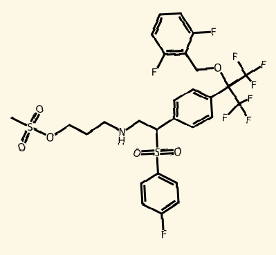 CS(=O)(=O)OCCCNCC(c1ccc(C(OCc2c(F)cccc2F)(C(F)(F)F)C(F)(F)F)cc1)S(=O)(=O)c1ccc(F)cc1